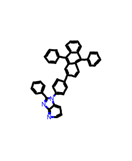 c1ccc(-c2c3ccccc3c(-c3ccccc3)c3cc(-c4ccc(-n5c(-c6ccccc6)nc6ncccc65)cc4)ccc23)cc1